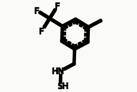 Cc1cc(CNS)cc(C(F)(F)F)c1